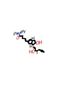 CC#CC[C@@H](C)[C@H](O)/C=C/[C@@H]1[C@H]2CC(CCCCC(=O)N(C(C)C)C(C)C)=C[C@H]2C[C@H]1O